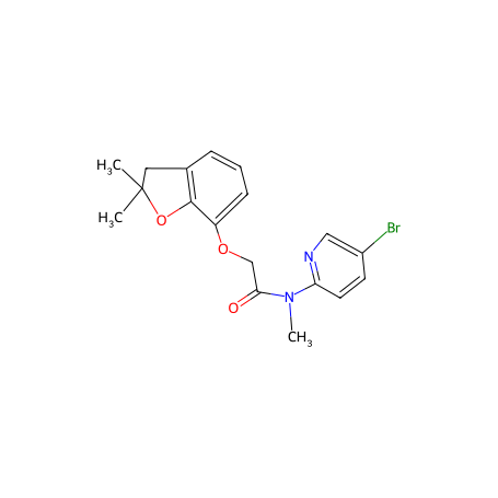 CN(C(=O)COc1cccc2c1OC(C)(C)C2)c1ccc(Br)cn1